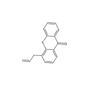 C=CCc1cccc2c(=O)c3ccccc3sc12